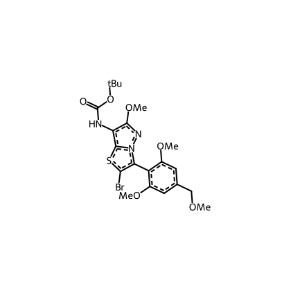 COCc1cc(OC)c(-c2c(Br)sc3c(NC(=O)OC(C)(C)C)c(OC)nn23)c(OC)c1